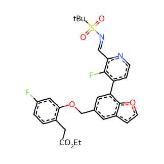 CCOC(=O)Cc1ccc(F)cc1OCc1cc(-c2ccnc(C=NS(=O)(=O)C(C)(C)C)c2F)c2occc2c1